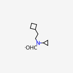 O=[C]N(CCC1CCC1)C1CC1